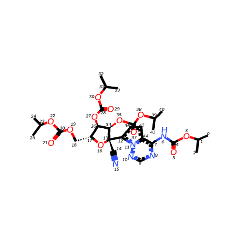 CC(C)OC(=O)Nc1ncnn2c([C@]3(C#N)O[C@H](COC(=O)OC(C)C)[C@@H](OC(=O)OC(C)C)[C@H]3OC(=O)OC(C)C)ccc12